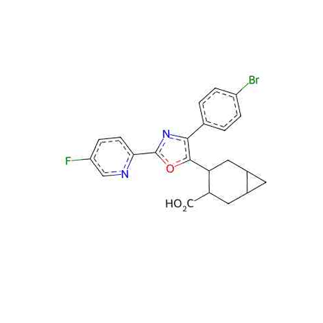 O=C(O)C1CC2CC2CC1c1oc(-c2ccc(F)cn2)nc1-c1ccc(Br)cc1